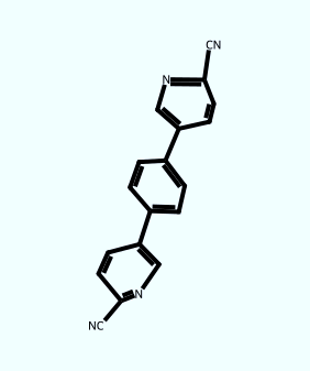 N#Cc1ccc(-c2ccc(-c3ccc(C#N)nc3)cc2)cn1